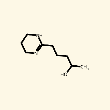 CC(O)CCCC1=NCCCN1